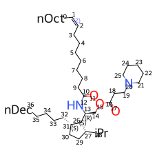 CCCCCCCC/C=C\CCCCCCCC(=O)N[C@@H](COC(=O)CCN1CCCCC1)[C@@H]1C(C(C)C)CC[C@@H]1CCCCCCCCCCCCCC